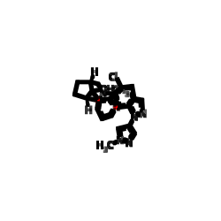 Cc1ncccc1C1(O)[C@@H]2CC[C@H]1CN(c1cc3c(cnn3-c3cnn(C)c3)cc1Cl)C2